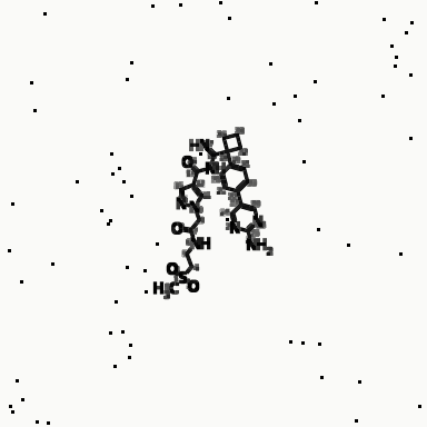 CS(=O)(=O)CCNC(=O)Cn1cc(C(=O)NC(=N)C2(c3ccc(-c4cnc(N)nc4)cc3)CCC2)cn1